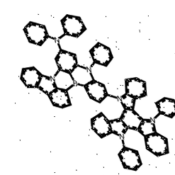 c1ccc(N(c2ccccc2)c2cc3c4c(c2)-n2c5ccccc5c5cccc(c52)B4c2ccc(-n4c5ccccc5c5c6c(c7ccccc7n6-c6ccccc6)c6c(c7ccccc7n6-c6ccccc6)c54)cc2N3c2ccccc2)cc1